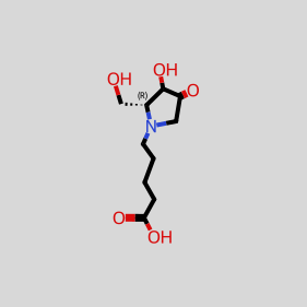 O=C(O)CCCCN1CC(=O)C(O)[C@H]1CO